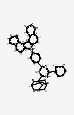 c1ccc(-c2nc(-c3ccc(-n4c5ccc6ccccc6c5c5c6ccccc6ccc54)cc3)nc(C34CC5CC(CC(C5)C3)C4)n2)cc1